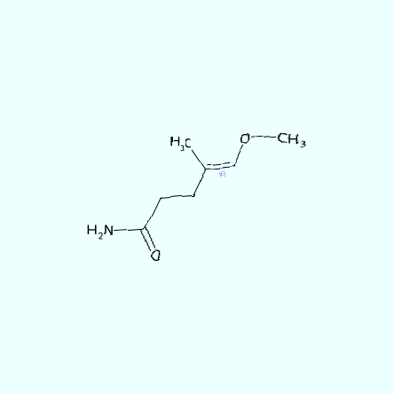 CO/C=C(\C)CCC(N)=O